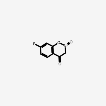 O=C1C[N+](=O)Oc2cc(F)ccc21